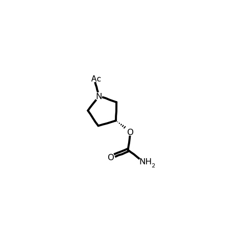 CC(=O)N1CC[C@@H](OC(N)=O)C1